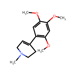 COc1cc(OC)c(C2=CCN(C)CC2)cc1OC